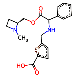 CN1CC[C@H]1COC(=O)C(NCc1ccc(C(=O)O)s1)c1ccccc1